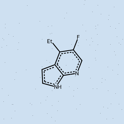 CCc1c(F)cnc2[nH]ccc12